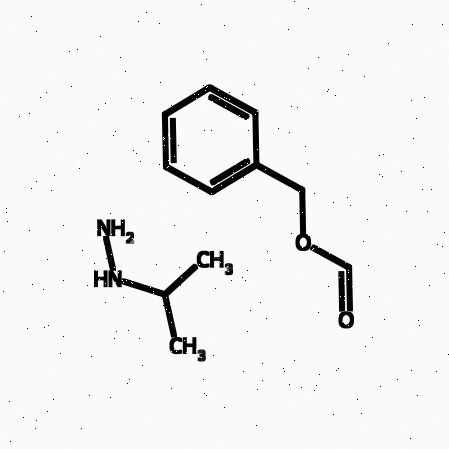 CC(C)NN.O=COCc1ccccc1